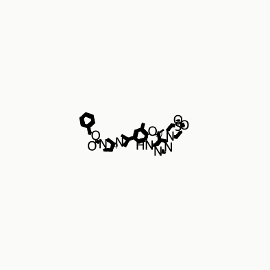 Cc1cc(C2CN([C@@H]3CCN(C(=O)OCc4ccccc4)C3)C2)cc2c1O[C@@H](C)c1c(ncnc1N1CCS(=O)(=O)CC1)N2